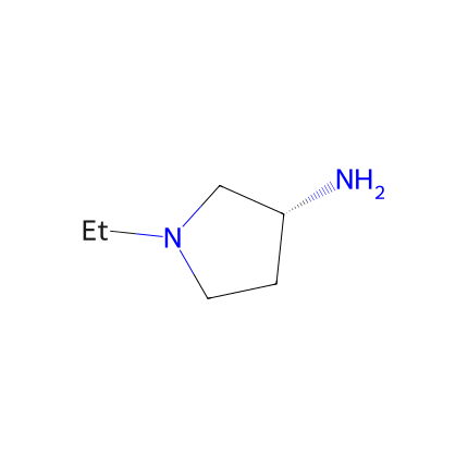 CCN1CC[C@@H](N)C1